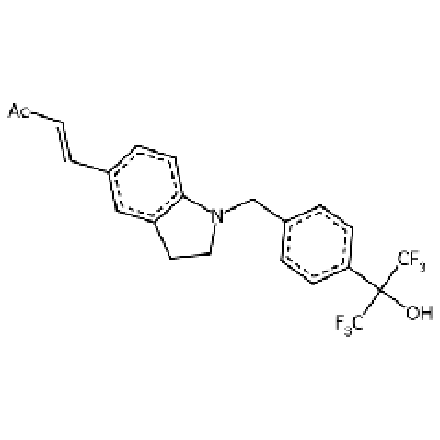 CC(=O)C=Cc1ccc2c(c1)CCN2Cc1ccc(C(O)(C(F)(F)F)C(F)(F)F)cc1